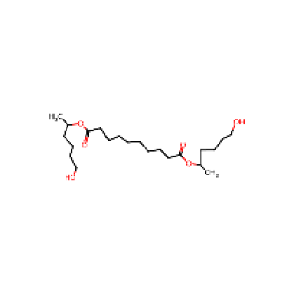 CC(CCCCO)OC(=O)CCCCCCCCC(=O)OC(C)CCCCO